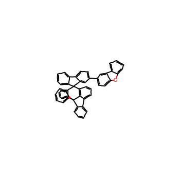 c1ccc(C23c4ccccc4-c4cccc(c42)C2(c4ccccc4-c4ccc(-c5ccc6oc7ccccc7c6c5)cc42)c2ccccc23)cc1